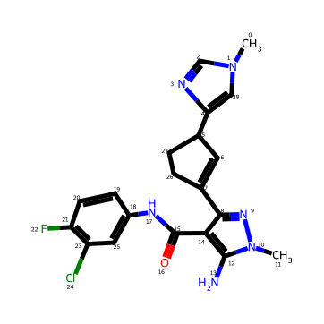 Cn1cnc(C2C=C(c3nn(C)c(N)c3C(=O)Nc3ccc(F)c(Cl)c3)CC2)c1